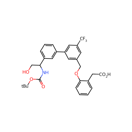 CC(C)(C)OC(=O)NC(CO)c1cccc(-c2cc(COc3ccccc3CC(=O)O)cc(C(F)(F)F)c2)c1